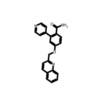 NC(=O)c1ccc(OCc2ccc3ccccc3n2)cc1-c1ccncc1